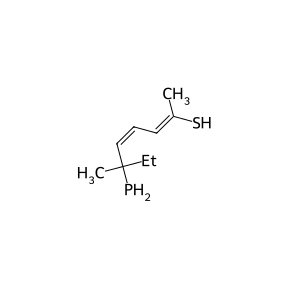 CCC(C)(P)/C=C\C=C(/C)S